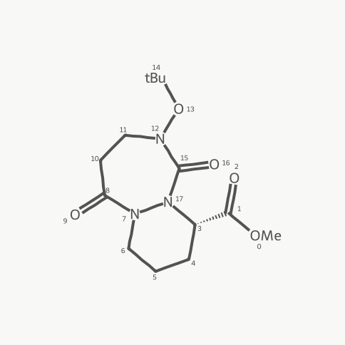 COC(=O)[C@@H]1CCCN2C(=O)CCN(OC(C)(C)C)C(=O)N12